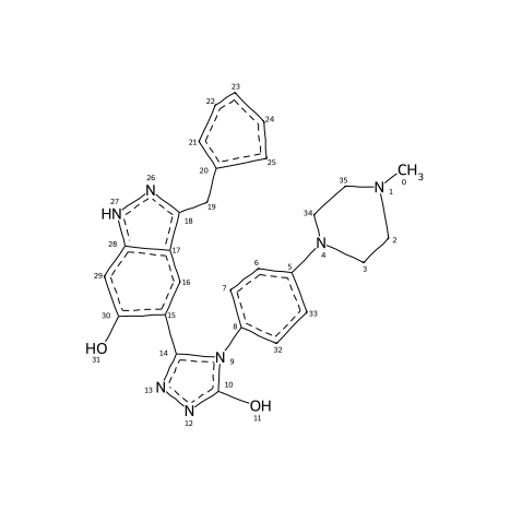 CN1CCN(c2ccc(-n3c(O)nnc3-c3cc4c(Cc5ccccc5)n[nH]c4cc3O)cc2)CC1